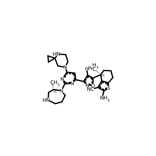 CCCc1c(-c2cc(N3CCNC4(CC4)C3)nc(N3CCCNC[C@@H]3C)n2)noc1[C@@]1(C)CCCc2sc(N)c(C#N)c21